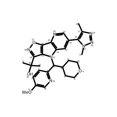 COc1ccc(C(C2CCOCC2)n2c3cc(-c4c(C)nnn4C)cnc3c3onc(C(C)(C)O)c32)nc1